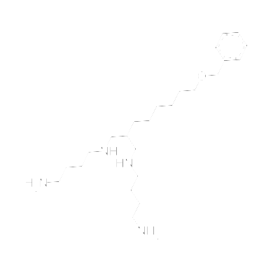 NCCCCNCC(CCCCCCOCc1ccccc1)CNCCCCN